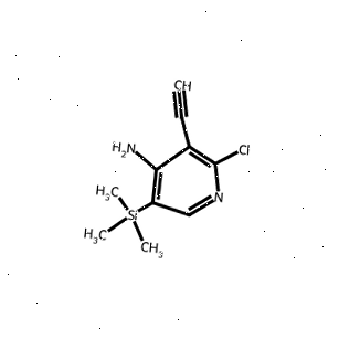 C#Cc1c(Cl)ncc([Si](C)(C)C)c1N